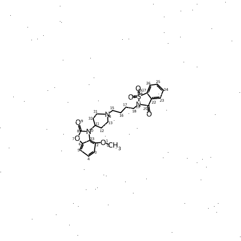 COc1cccc2oc(=O)n(C3CCN(CCCCN4C(=O)c5ccccc5S4(=O)=O)CC3)c12